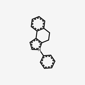 [c]1cc2c(n1-c1ccccc1)CCc1ccccc1-2